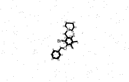 Cc1c(C)c(OCc2ccccc2)c(Br)c(CN2CCCCC2)c1F